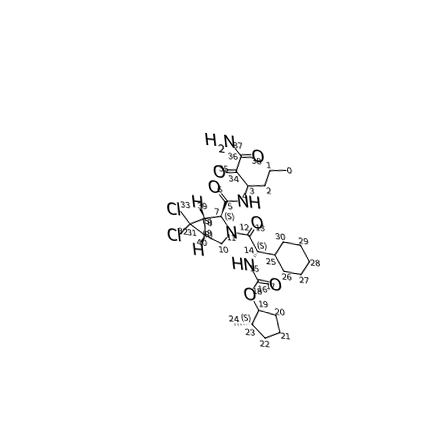 CCCC(NC(=O)[C@@H]1[C@@H]2[C@H](CN1C(=O)[C@@H](NC(=O)OC1CCC[C@@H]1C)C1CCCCC1)C2(Cl)Cl)C(=O)C(N)=O